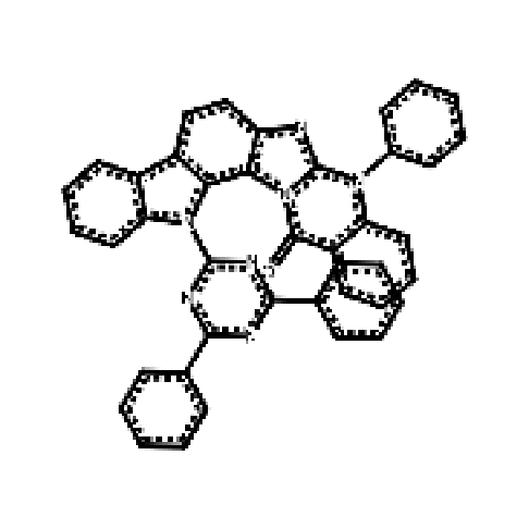 O=c1c2ccccc2n(-c2ccccc2)c2nc3ccc4c5ccccc5n(-c5nc(-c6ccccc6)nc(-c6ccccc6)n5)c4c3n12